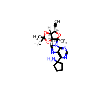 C#C[C@H]1O[C@@](n2cnc3c(C4(N)CCCC4)ncnc32)(C(F)(F)F)[C@@H]2OC(C)(C)O[C@@H]21